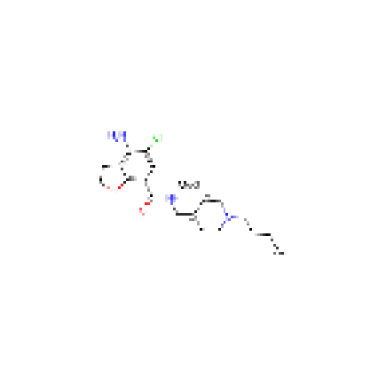 CO[C@@H]1CN(CCCC(C)=O)CC[C@H]1CNC(=O)c1cc(Cl)c(N)c2c1OCC2